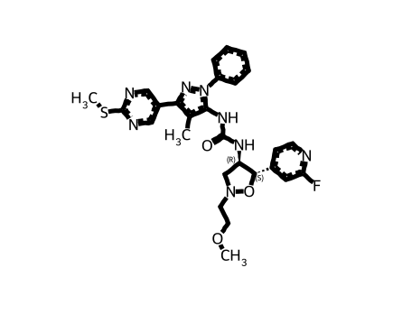 COCCN1C[C@@H](NC(=O)Nc2c(C)c(-c3cnc(SC)nc3)nn2-c2ccccc2)[C@H](c2ccnc(F)c2)O1